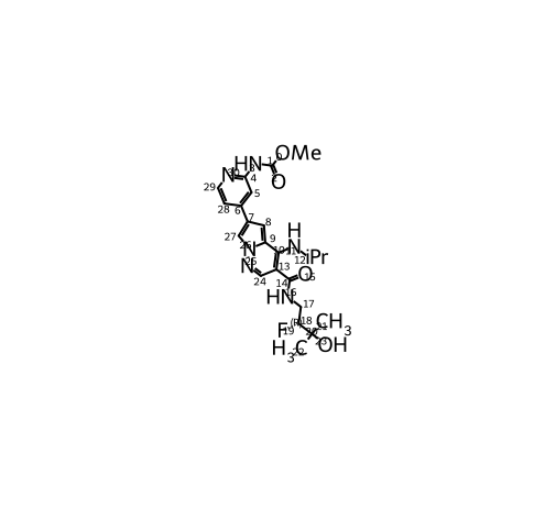 COC(=O)Nc1cc(-c2cc3c(NC(C)C)c(C(=O)NC[C@@H](F)C(C)(C)O)cnn3c2)ccn1